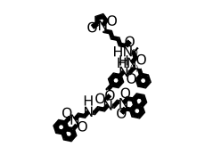 C[C@H](NC(=O)CCCCCN1C(=O)C=CC1=O)C(=O)N[C@@H](Cc1ccccc1)C(=O)Nc1ccc(COC(=O)N(CCCNCCN2C(=O)c3cccc4cccc(c34)C2=O)CCN2C(=O)c3cccc4cccc(c34)C2=O)cc1